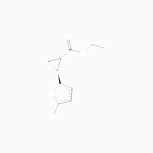 CCOC(=O)C1C[C@@H]1c1ccc(Br)s1